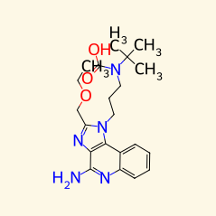 CCOCc1nc2c(N)nc3ccccc3c2n1CCCN(C(=O)O)C(C)(C)C